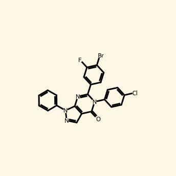 O=c1c2cnn(-c3ccccc3)c2nc(-c2ccc(Br)c(F)c2)n1-c1ccc(Cl)cc1